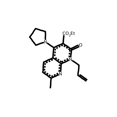 C=CCn1c(=O)c(C(=O)OCC)c(N2CCCC2)c2ccc(C)nc21